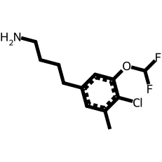 Cc1cc(CCCCN)cc(OC(F)F)c1Cl